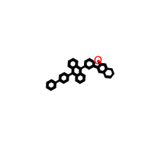 C1=Cc2cc3c(cc2CC1)oc1ccc(-c2c4ccccc4c(-c4ccc(-c5ccccc5)cc4)c4ccccc24)cc13